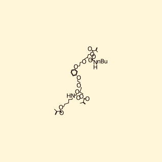 C=C(C)C(=O)OCCCCCNC(=O)OC(COCCOc1cccc(OCCOCC(COC(=O)C(=C)C)OC(=O)NCCCC)c1)COC(=O)C(=C)C